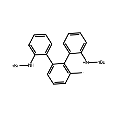 [CH2]c1cccc(-c2ccccc2NCCCC)c1-c1ccccc1NCCCC